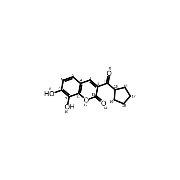 O=C(c1cc2ccc(O)c(O)c2oc1=O)C1CCCC1